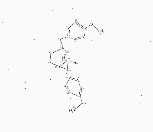 COc1ccc(CN2CC[C@H]3[C@@H](C2)[C@@H]3c2ccc(OC)cc2)cc1